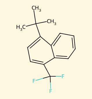 CC(C)(C)c1ccc(C(F)(F)F)c2ccccc12